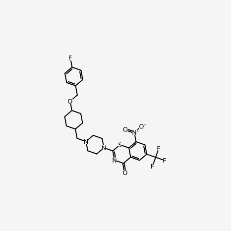 O=c1nc(N2CCN(CC3CCC(OCc4ccc(F)cc4)CC3)CC2)sc2c([N+](=O)[O-])cc(C(F)(F)F)cc12